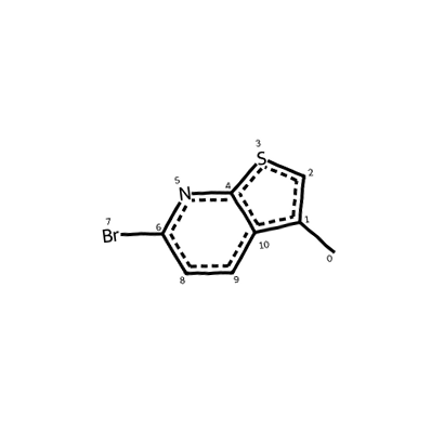 Cc1csc2nc(Br)ccc12